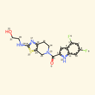 O=C(c1cc2c(F)cc(F)cc2[nH]1)N1CCc2nc(NCCO)sc2C1